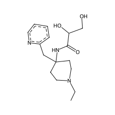 CCN1CCC(Cc2ccccn2)(NC(=O)C(O)CO)CC1